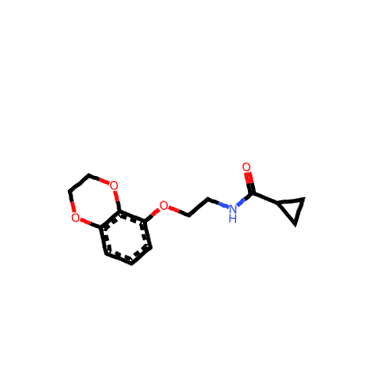 O=C(NCCOc1cccc2c1OCCO2)C1CC1